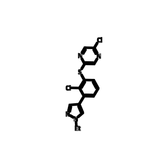 CCn1cc(-c2cccc(Sc3cnc(Cl)cn3)c2Cl)cn1